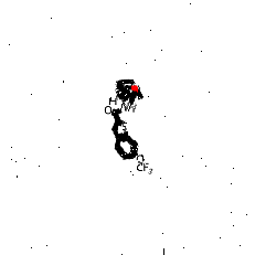 CC1(C)[C@@H](NC(=O)c2cc3ccc(OC(F)(F)F)cc3s2)C2CCN1CC2